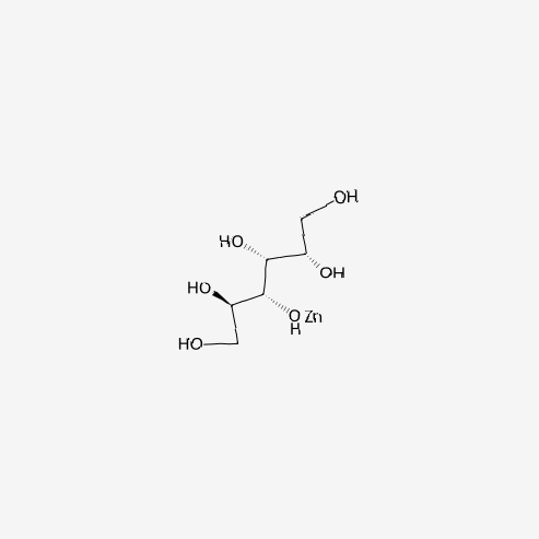 OC[C@@H](O)[C@@H](O)[C@H](O)[C@@H](O)CO.[Zn]